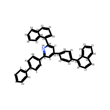 c1ccc(-c2ccc(-c3cc(-c4ccc(-c5cccc6ccccc56)cc4)cc(-c4cccc5ccccc45)n3)cc2)cc1